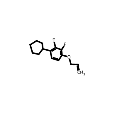 C=CCOc1ccc(C2CCCCC2)c(F)c1F